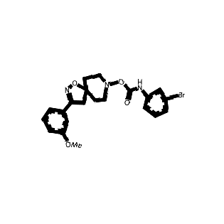 COc1cccc(C2=NOC3(CCN(OC(=O)Nc4cccc(Br)c4)CC3)C2)c1